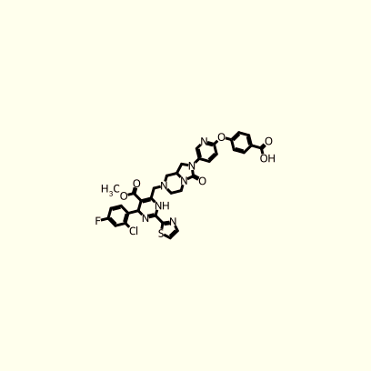 COC(=O)C1=C(CN2CCN3C(=O)N(c4ccc(Oc5ccc(C(=O)O)cc5)nc4)CC3C2)NC(c2nccs2)=NC1c1ccc(F)cc1Cl